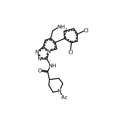 CC(=O)N1CCC(C(=O)Nc2nnc3cc(CN)c(-c4ccc(Cl)cc4Cl)cn23)CC1